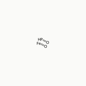 O=P.[O]=[Fe]